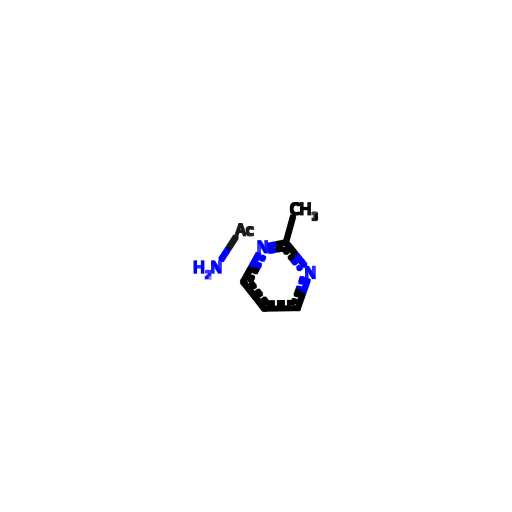 CC(N)=O.Cc1ncccn1